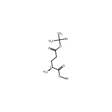 CCC(C)(C)OC(=O)CC[C@H](C)C(=O)OC(C)C